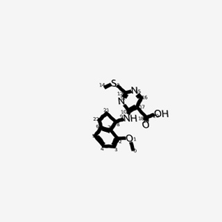 COc1cccc2c1C(Nc1nc(SC)ncc1C(=O)O)CC2